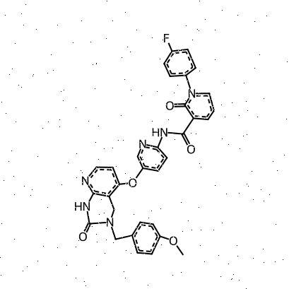 COc1ccc(CN2Cc3c(Oc4ccc(NC(=O)c5cccn(-c6ccc(F)cc6)c5=O)nc4)ccnc3NC2=O)cc1